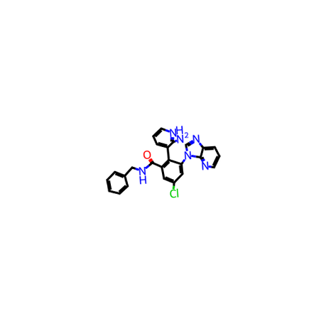 Nc1ncccc1-c1c(C(=O)NCc2ccccc2)cc(Cl)cc1-n1cnc2cccnc21